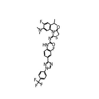 CC(C)c1cc(F)c(N(C)C)cc1N1C(=O)CS/C1=N\C(=O)Nc1ccc(-c2ncn(-c3ccc(C(F)(F)F)cc3)n2)cc1F